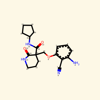 N#Cc1c(N)cccc1OCC1(C(=O)NC2CCCC2)CCCNC1=O